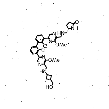 COc1nc(-c2cccc(-c3cccc(-c4cnc(CNC5CC(CO)C5)c(OC)n4)c3Cl)c2Cl)cnc1CNC[C@@H]1CCC(=O)N1